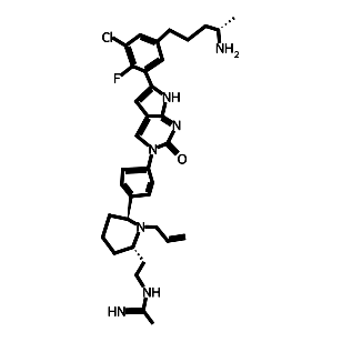 C=CCN1[C@H](CCNC(C)=N)CCC[C@H]1c1ccc(-n2cc3cc(-c4cc(CCC[C@H](C)N)cc(Cl)c4F)[nH]c3nc2=O)cc1